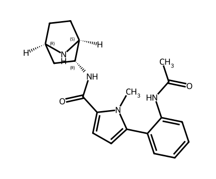 CC(=O)Nc1ccccc1-c1ccc(C(=O)N[C@@H]2C[C@H]3CC[C@@H]2N3)n1C